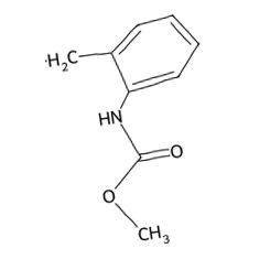 [CH2]c1ccccc1NC(=O)OC